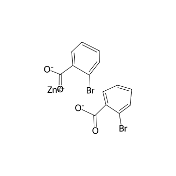 O=C([O-])c1ccccc1Br.O=C([O-])c1ccccc1Br.[Zn+2]